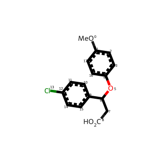 COc1ccc(OC(CC(=O)O)c2ccc(Cl)cc2)cc1